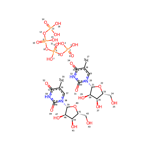 O=P(O)(O)OP(=O)(O)OP(=O)(O)OP(=O)(O)O.[2H]c1cn([C@@H]2O[C@H](CO)[C@@H](O)[C@H]2O)c(=O)[nH]c1=O.[2H]c1cn([C@@H]2O[C@H](CO)[C@@H](O)[C@H]2O)c(=O)[nH]c1=O